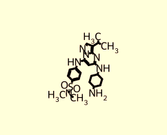 CC(C)c1cnn2c(Nc3ccc(S(=O)(=O)N(C)C)cc3)cc(NC3CCC(N)CC3)nc12